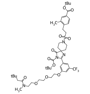 Cc1cc(C(=O)OC(C)(C)C)ccc1CCS(=O)(=O)N1CCC2(CC1)N=C(c1cc(OCCOCCOCCN(C)C(=O)CC(C)(C)C)cc(C(F)(F)F)c1)N(C(=O)OC(C)(C)C)C2=O